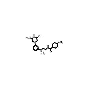 CC1CN(c2cccc(N(C)CCNC(=O)C3CCC(N)CC3)c2)CC(C)N1